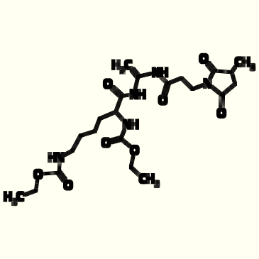 C=C(NC(=O)CCN1C(=O)CC(C)C1=O)NC(=O)C(CCCCNC(=O)OCC)NC(=O)OCC